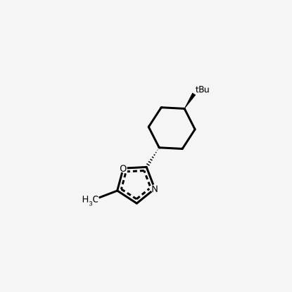 Cc1cnc([C@H]2CC[C@H](C(C)(C)C)CC2)o1